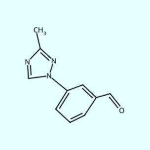 Cc1ncn(-c2cccc(C=O)c2)n1